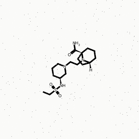 CCS(=O)(=O)N[C@H]1CCCN(CCN2[C@@H]3C[CH]C[C@@]2(C(N)=O)CC3)C1